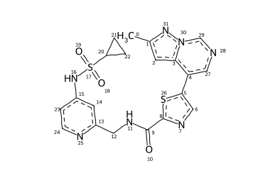 Cc1cc2c(-c3cnc(C(=O)NCc4cc(NS(=O)(=O)C5CC5)ccn4)s3)cncn2n1